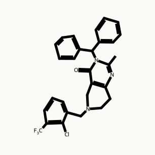 Cc1nc2c(c(=O)n1C(c1ccccc1)c1ccccc1)CN(Cc1cccc(C(F)(F)F)c1Cl)CC2